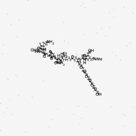 CCC(=O)NC(CCCCCC(=O)CCC(CCC(=O)NC(CCCCNC)C(=O)CCCO)COCCOCCOCCOCCOCCOCCOCCO)C(=O)NC(CSC1CC(=O)N(CCC(=O)NCC(NC=O)NC(=O)C(C)CCCCN)C1=O)C(N)=O